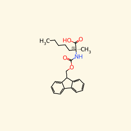 CCCCC[C@](C)(NC(=O)OCC1c2ccccc2-c2ccccc21)C(=O)O